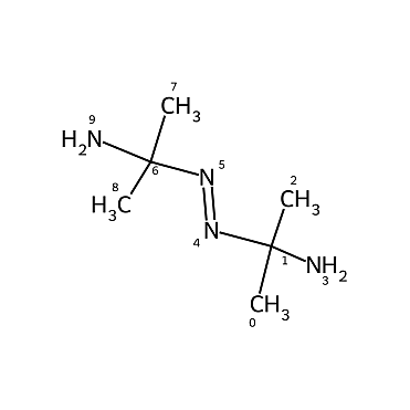 CC(C)(N)N=NC(C)(C)N